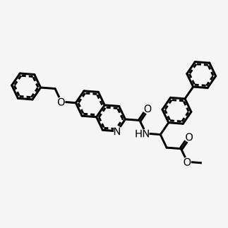 COC(=O)CC(NC(=O)c1cc2ccc(OCc3ccccc3)cc2cn1)c1ccc(-c2ccccc2)cc1